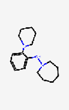 c1ccc(N2CCCCC2)c(NN2CCCCCC2)c1